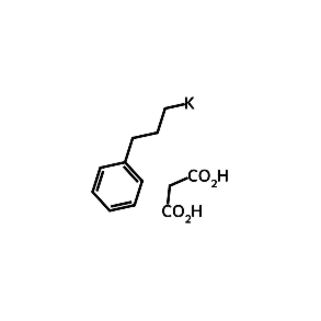 O=C(O)CC(=O)O.[K][CH2]CCc1ccccc1